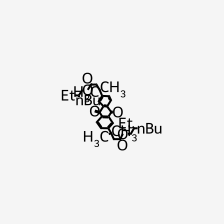 CCCCC(CC)COC(=O)CC(C)(C)c1ccc2c(c1)C(=O)c1ccc(C(C)(C)CC(=O)OCC(CC)CCCC)cc1C2=O